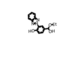 CCOC(O)c1ccc(O)c(-n2nc3ccccc3n2)c1